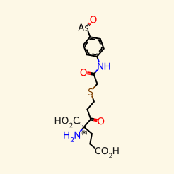 N[C@@](CCC(=O)O)(C(=O)O)C(=O)CCSCC(=O)Nc1ccc([As]=O)cc1